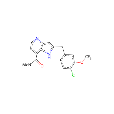 CNC(=O)c1ccnc2cc(Cc3ccc(Cl)c(OC(F)(F)F)c3)[nH]c12